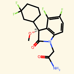 CO[C@@]1(C2CCCC(F)(F)C2)C(=O)N(CC(N)=O)c2ccc(F)c(F)c21